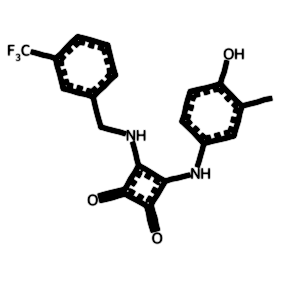 Cc1cc(Nc2c(NCc3cccc(C(F)(F)F)c3)c(=O)c2=O)ccc1O